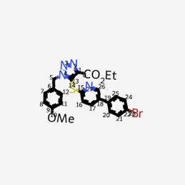 CCOC(=O)c1nnn(Cc2ccc(OC)cc2)c1Sc1ccc(-c2ccc(Br)cc2)cn1